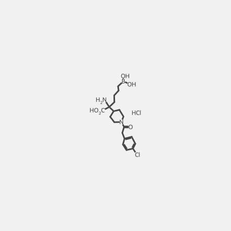 Cl.NC(CCCCB(O)O)(C(=O)O)C1CCN(C(=O)Cc2ccc(Cl)cc2)CC1